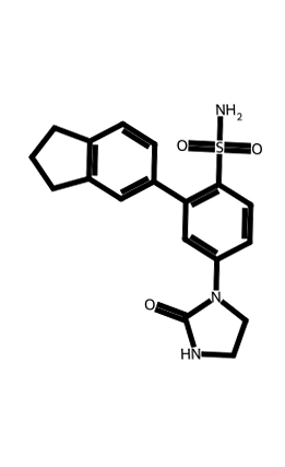 NS(=O)(=O)c1ccc(N2CCNC2=O)cc1-c1ccc2c(c1)CCC2